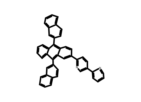 c1ccc(-c2ccc(-c3ccc4c(-c5ccc6ccccc6c5)c5ccccc5c(-c5ccc6ccccc6c5)c4c3)nc2)nc1